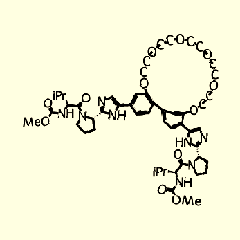 COC(=O)N[C@H](C(=O)N1CCC[C@H]1c1ncc(-c2ccc3c(c2)OCCOCCOCCOCCOCCOc2cc-3ccc2-c2cnc([C@@H]3CCCN3C(=O)[C@@H](NC(=O)OC)C(C)C)[nH]2)[nH]1)C(C)C